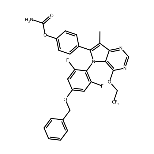 Cc1c(-c2ccc(OC(N)=O)cc2)n(-c2c(F)cc(OCc3ccccc3)cc2F)c2c(OCC(F)(F)F)ncnc12